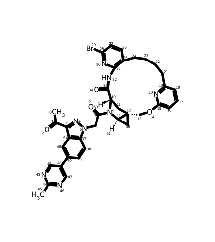 CC(=O)c1nn(CC(=O)N2[C@H]3C[C@@]4(COc5cccc(n5)CCCCc5ccc(Br)nc5NC3=O)C[C@@H]24)c2ccc(-c3cnc(C)nc3)cc12